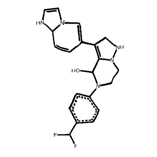 OC1C2=C(C3=CN4C=CNC4C=C3)CNN2CCN1c1ccc(C(F)F)cc1